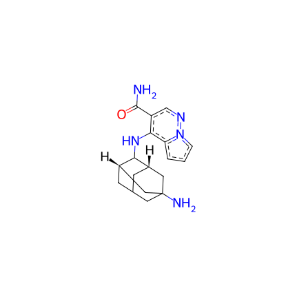 NC(=O)c1cnn2cccc2c1NC1[C@H]2CC3C[C@H]1CC(N)(C3)C2